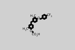 Cc1cc(Cc2ccc(OCc3ccc(C(F)(F)F)cc3)c(C)c2)ccc1OCC(=O)O